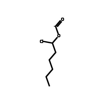 CCCCCC(Cl)O[C]=O